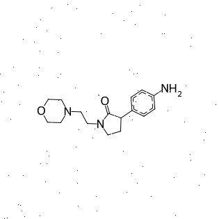 Nc1ccc(C2CCN(CCN3CCOCC3)C2=O)cc1